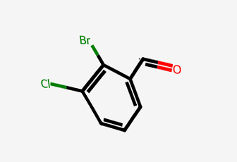 O=[C]c1cccc(Cl)c1Br